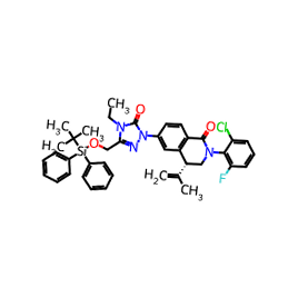 C=C(C)[C@H]1CN(c2c(F)cccc2Cl)C(=O)c2ccc(-n3nc(CO[Si](c4ccccc4)(c4ccccc4)C(C)(C)C)n(CC)c3=O)cc21